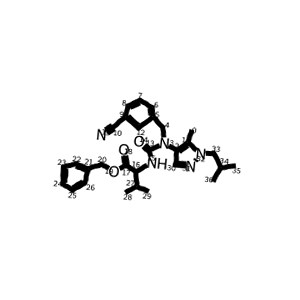 Cc1c(N(Cc2cccc(C#N)c2)C(=O)NC(C(=O)OCc2ccccc2)C(C)C)cnn1CC(C)C